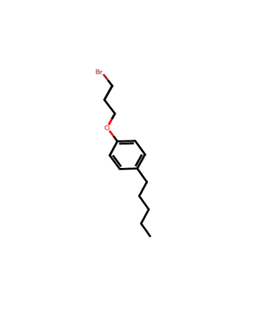 CCCCCc1ccc(OCCCBr)cc1